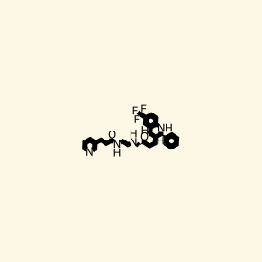 O=C(CCc1cccnc1)NCCNC[C@H]1CC[C@@H]2[C@H](O1)c1cc(C(F)(F)F)ccc1N[C@H]2c1ccccc1